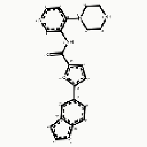 O=C(Nc1cnccc1N1CCNCC1)c1ccc(-c2ccc3occc3c2)o1